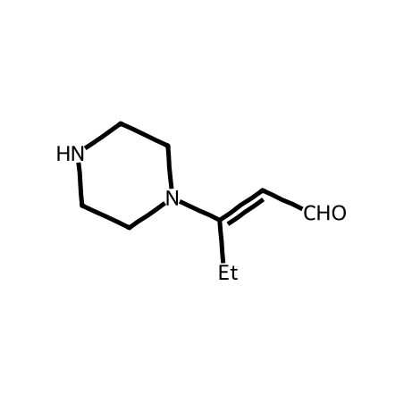 CCC(=CC=O)N1CCNCC1